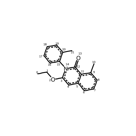 CCOc1cc2cccc(C)c2c(=O)n1-c1ccccc1C